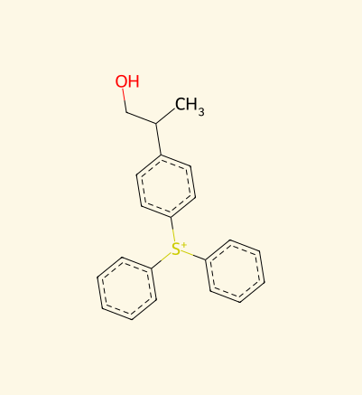 CC(CO)c1ccc([S+](c2ccccc2)c2ccccc2)cc1